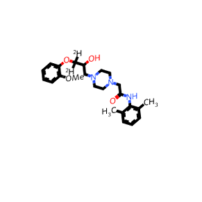 [2H]C([2H])(Oc1ccccc1OC)C(O)CN1CCN(CC(=O)Nc2c(C)cccc2C)CC1